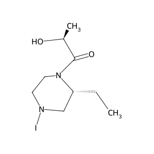 CC[C@@H]1CN(I)CCN1C(=O)[C@H](C)O